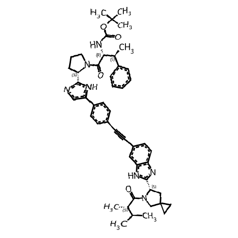 CC(C)[C@H](C)C(=O)N1CC2(CC2)C[C@H]1c1nc2ccc(C#Cc3ccc(-c4cnc([C@@H]5CCCN5C(=O)[C@H](NC(=O)OC(C)(C)C)[C@@H](C)c5ccccc5)[nH]4)cc3)cc2[nH]1